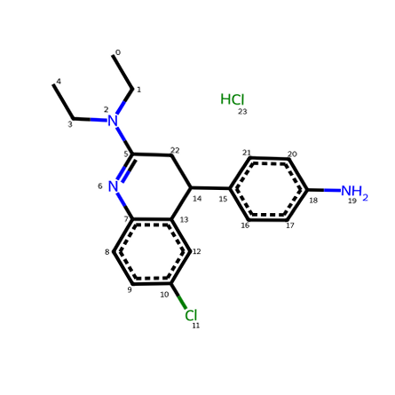 CCN(CC)C1=Nc2ccc(Cl)cc2C(c2ccc(N)cc2)C1.Cl